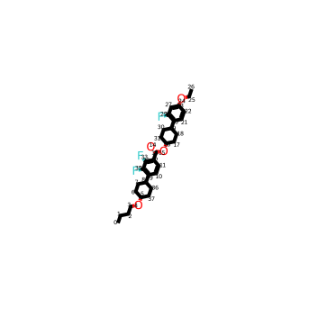 CCCCOC1CCC(c2ccc(C(=O)OC3CCC(c4ccc(OCC)cc4F)CC3)c(F)c2F)CC1